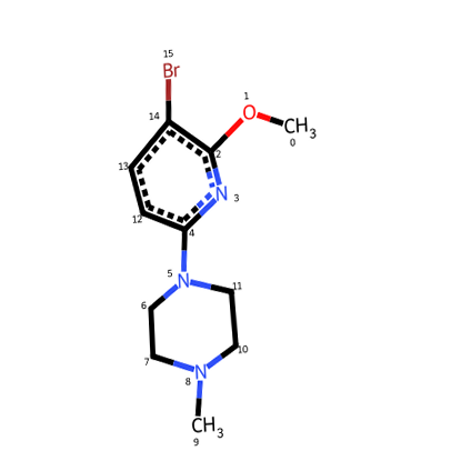 COc1nc(N2CCN(C)CC2)ccc1Br